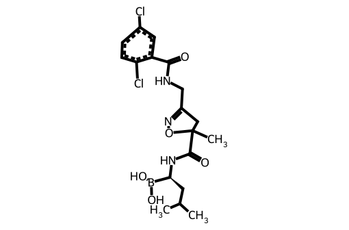 CC(C)C[C@H](NC(=O)C1(C)CC(CNC(=O)c2cc(Cl)ccc2Cl)=NO1)B(O)O